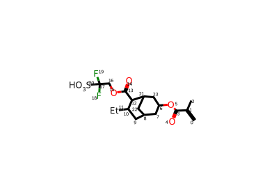 C=C(C)C(=O)OC1CC2CC(CC)C(C(=O)OCC(F)(F)S(=O)(=O)O)C(C2)C1